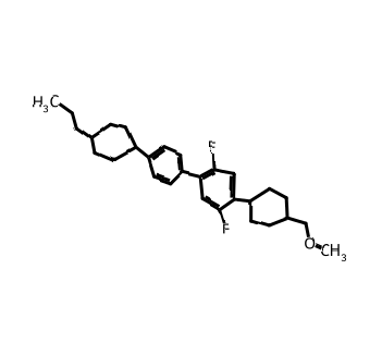 CCCC1CCC(c2ccc(-c3cc(F)c(C4CCC(COC)CC4)cc3F)cc2)CC1